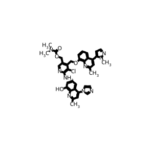 Cc1cc(-c2ccnn2C)c2cccc(OCc3c(COC(=O)N(C)C)cnc(N)c3Cl)c2n1.Cc1cc(-n2ccnc2)c2cccc(O)c2n1